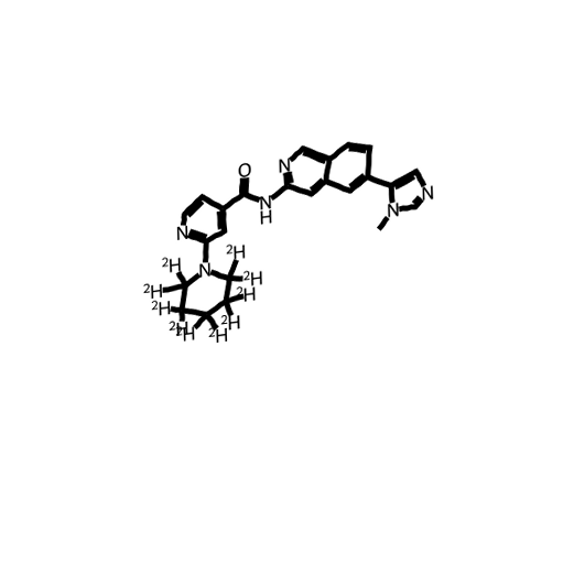 [2H]C1([2H])N(c2cc(C(=O)Nc3cc4cc(-c5cncn5C)ccc4cn3)ccn2)C([2H])([2H])C([2H])([2H])C([2H])([2H])C1([2H])[2H]